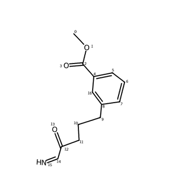 COC(=O)c1cccc(CCCC(=O)C=N)c1